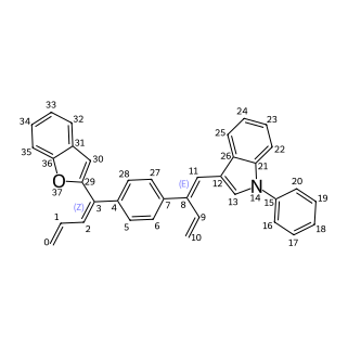 C=C/C=C(/c1ccc(/C(C=C)=C/c2cn(-c3ccccc3)c3ccccc23)cc1)c1cc2ccccc2o1